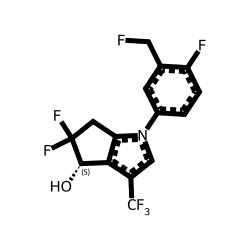 O[C@H]1c2c(C(F)(F)F)cn(-c3ccc(F)c(CF)c3)c2CC1(F)F